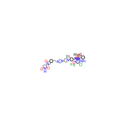 CCc1cc(Nc2ncc(Cl)c(Nc3cccc(OC)c3NS(C)(=O)=O)n2)c(OC(F)F)cc1N1CCC(N2CCN(CCc3ccc4c(c3)CN(C3CCC(=O)NC3=O)C4=O)CC2)CC1